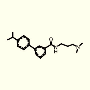 CC(C)c1ccc(-c2cccc(C(=O)NCCCN(C)C)c2)cc1